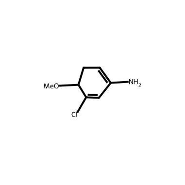 COC1CC=C(N)C=C1Cl